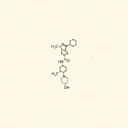 Cc1cc(NC(=O)c2cc3c(C)nn(-c4ccccc4)c3s2)ccc1N1CCC(O)CC1